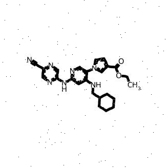 CCOC(=O)c1ccn(-c2cnc(Nc3cnc(C#N)cn3)cc2NCC2CCCCC2)c1